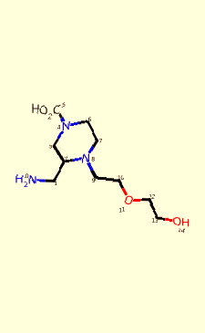 NCC1CN(C(=O)O)CCN1CCOCCO